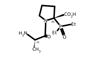 CCP(=O)(CC)[C@@]1(C(=O)O)CCCN1C(=O)[C@H](C)N